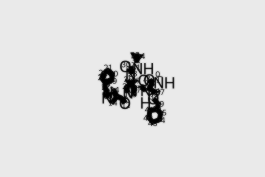 CNC(=O)[C@@H](NC(=O)[C@@H]1CN(C(=O)c2cnn(Cc3ccccc3)c2)CC12CN(C(=O)NC1CC1)C2)[C@@H](C)OCC1CCCCC1